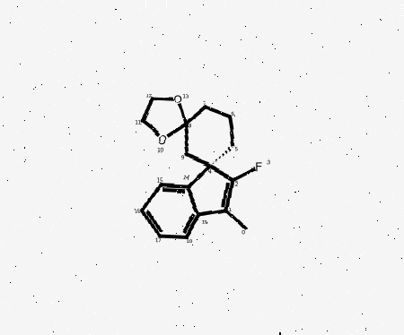 CC1=C(F)[C@@]2(CCCC3(C2)OCCO3)c2ccccc21